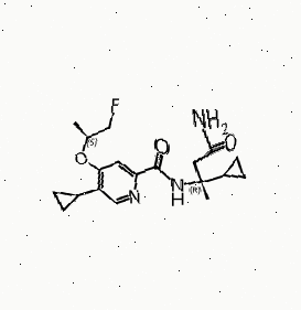 C[C@@H](CF)Oc1cc(C(=O)N[C@](C)(CC(N)=O)C2CC2)ncc1C1CC1